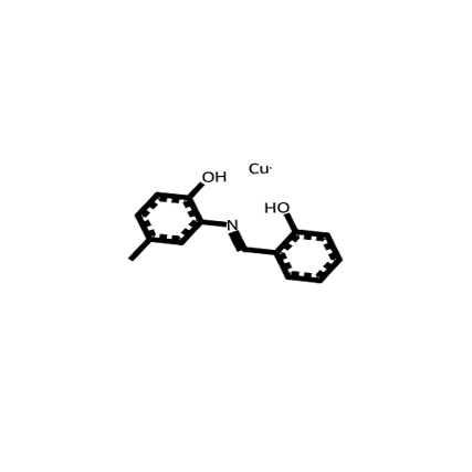 Cc1ccc(O)c(N=Cc2ccccc2O)c1.[Cu]